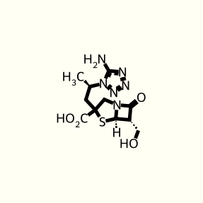 C[C@H](CC1(C(=O)O)CN2C(=O)[C@H](CO)[C@H]2S1)n1nnnc1N